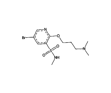 CNS(=O)(=O)c1cc(Br)cnc1OCCCN(C)C